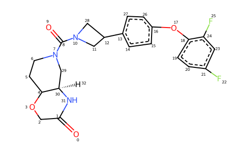 O=C1COC2CCN(C(=O)N3CC(c4ccc(Oc5ccc(F)cc5F)cc4)C3)C[C@H]2N1